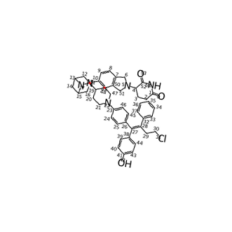 O=C1CCC(N2Cc3ccc(N4CC5CC(C4)N5CC4CCN(c5ccc(C(=C(CCCl)c6ccccc6)c6ccc(O)cc6)cc5)CC4)cc3C2)C(=O)N1